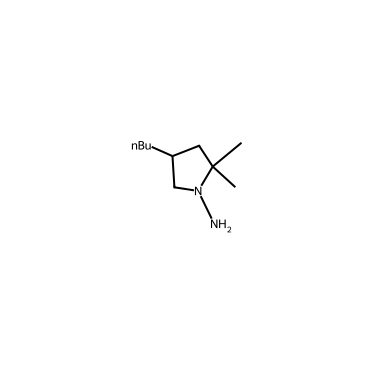 CCCCC1CN(N)C(C)(C)C1